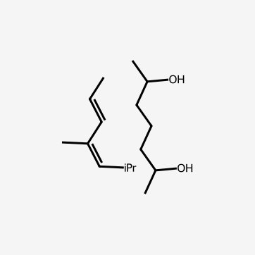 CC(O)CCCC(C)O.CC=CC(C)=CC(C)C